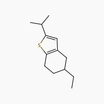 CCC1CCc2sc(C(C)C)cc2C1